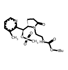 Cc1cccnc1[C@H](OS(C)(=O)=O)[C@@H]1CCC(=O)N1CCNC(=O)OC(C)(C)C